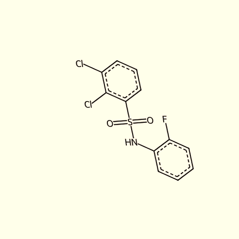 O=S(=O)(Nc1ccccc1F)c1cccc(Cl)c1Cl